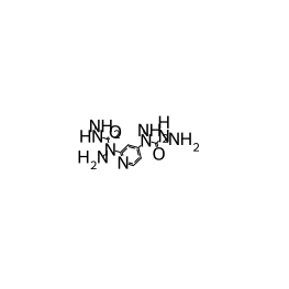 NNC(=O)N(N)c1ccnc(N(N)C(=O)NN)c1